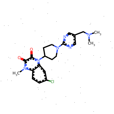 CN(C)Cc1cnc(N2CCC(n3c(=O)c(=O)n(C)c4ccc(Cl)cc43)CC2)nc1